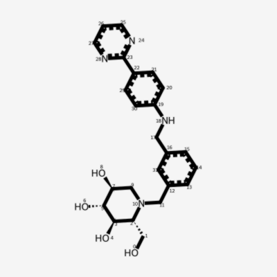 OC[C@@H]1[C@@H](O)[C@H](O)[C@@H](O)CN1Cc1cccc(CNc2ccc(-c3ncccn3)cc2)c1